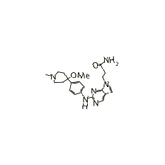 COC1(c2ccc(Nc3ncc4ccn(CCC(N)=O)c4n3)cc2)CCN(C)CC1